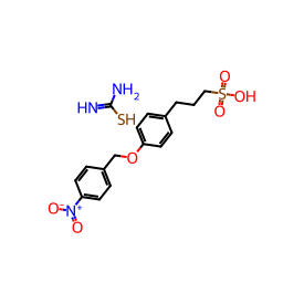 N=C(N)S.O=[N+]([O-])c1ccc(COc2ccc(CCCS(=O)(=O)O)cc2)cc1